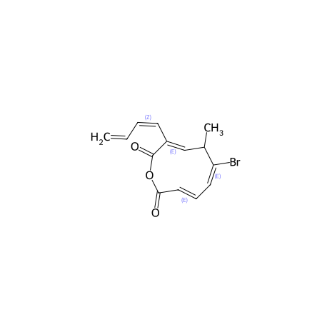 C=C/C=C\C1=C/C(C)/C(Br)=C\C=C\C(=O)OC1=O